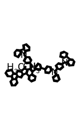 CC1(C)c2cc3c4ccccc4c4ccccc4c3cc2-c2c1c1c(c3ccccc23)c2cc(-c3ccc(N(c4ccccc4)c4ccc(-n5c6ccccc6c6ccccc65)cc4)cc3)ccc2n1-c1ccc(-n2c3ccccc3c3ccccc32)cc1